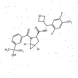 Cc1cc(F)c([C@H](NC(=O)[C@H]2C[C@H]3C[C@H]3N2C(=O)c2cccc(C(C)(C)O)c2)C2COC2)cc1F